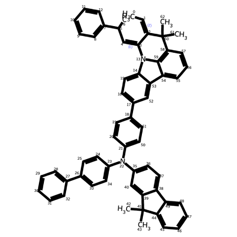 C/C=C1\C(=C/C(C)c2ccccc2)n2c3ccc(-c4ccc(N(c5ccc(-c6ccccc6)cc5)c5ccc6c(c5)C(C)(C)c5ccccc5-6)cc4)cc3c3cccc(c32)C1(C)C